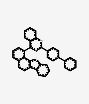 c1ccc(-c2ccc(-c3nc(-c4cccc5ccc6c7ccccc7sc6c45)c4ccccc4n3)cc2)cc1